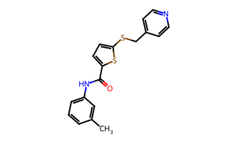 Cc1cccc(NC(=O)c2ccc(SCc3ccncc3)s2)c1